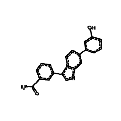 NC(=O)c1cccc(-c2cnc3cc(-c4cccc(O)c4)ccn23)c1